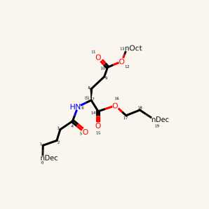 CCCCCCCCCCCCCC(=O)N[C@@H](CCC(=O)OCCCCCCCC)C(=O)OCCCCCCCCCCCC